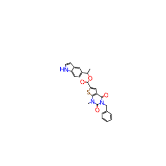 CC(OC(=O)c1cc2c(=O)n(Cc3ccccc3)c(=O)n(C)c2s1)c1ccc2[nH]ccc2c1